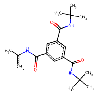 C=C(C)NC(=O)c1cc(C(=O)NC(C)(C)C)cc(C(=O)NC(C)(C)C)c1